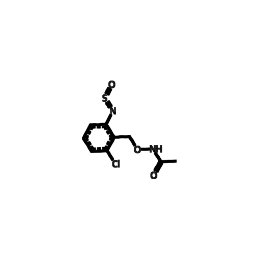 CC(=O)NOCc1c(Cl)cccc1N=S=O